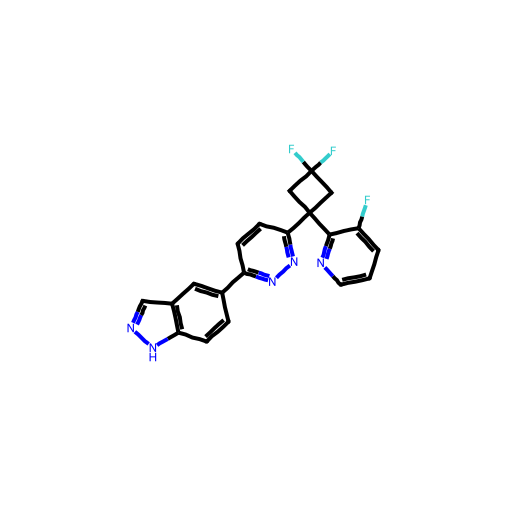 Fc1cccnc1C1(c2ccc(-c3ccc4[nH]ncc4c3)nn2)CC(F)(F)C1